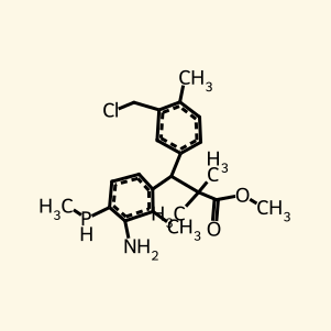 COC(=O)C(C)(C)C(c1ccc(C)c(CCl)c1)c1ccc(PC)c(N)c1C